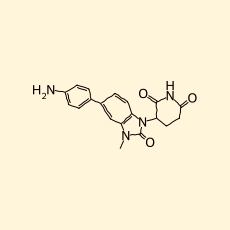 Cn1c(=O)n(C2CCC(=O)NC2=O)c2ccc(-c3ccc(N)cc3)cc21